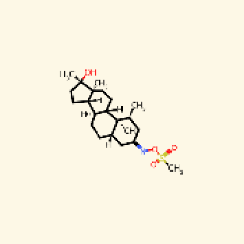 C[C@H]1C/C(=N\OS(C)(=O)=O)C[C@@H]2CC[C@@H]3[C@H](CC[C@@]4(C)[C@H]3CC[C@]4(C)O)[C@]21C